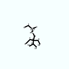 CCN(C)CCC(CC)(CC)C(C)C